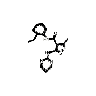 CCc1ccccc1NC(=O)c1c(C)nsc1Nc1ncccn1